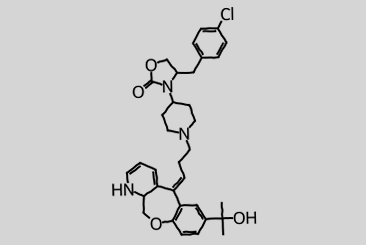 CC(C)(O)c1ccc2c(c1)/C(=C/CCN1CCC(N3C(=O)OCC3Cc3ccc(Cl)cc3)CC1)C1=CC=CNC1CO2